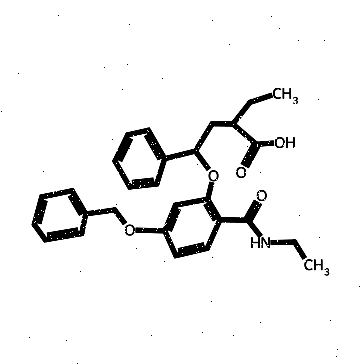 CCNC(=O)c1ccc(OCc2ccccc2)cc1OC(CC(CC)C(=O)O)c1ccccc1